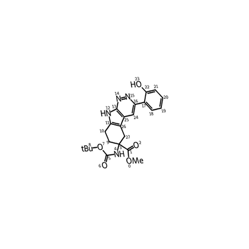 COC(=O)C1(NC(=O)OC(C)(C)C)CCc2[nH]c3nnc(-c4ccccc4O)cc3c2C1